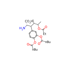 CCCCC(=O)Oc1ccc(C(C(C)C(C)OC(=O)CC)[C@H](N)C(=O)O)cc1OC(=O)CCCC